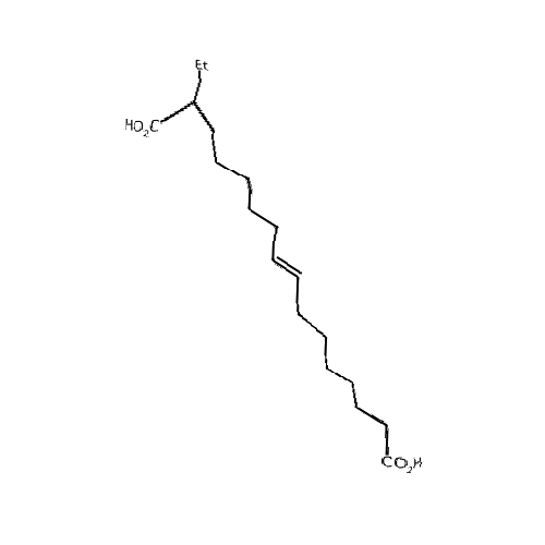 CCC(CCCCCC=CCCCCCCC(=O)O)C(=O)O